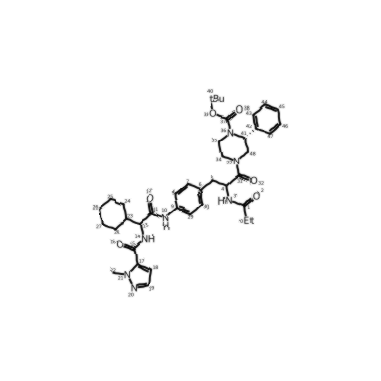 CCC(=O)NC(Cc1ccc(NC(=O)C(NC(=O)c2ccnn2C)C2CCCCC2)cc1)C(=O)N1CCN(C(=O)OC(C)(C)C)[C@H](c2ccccc2)C1